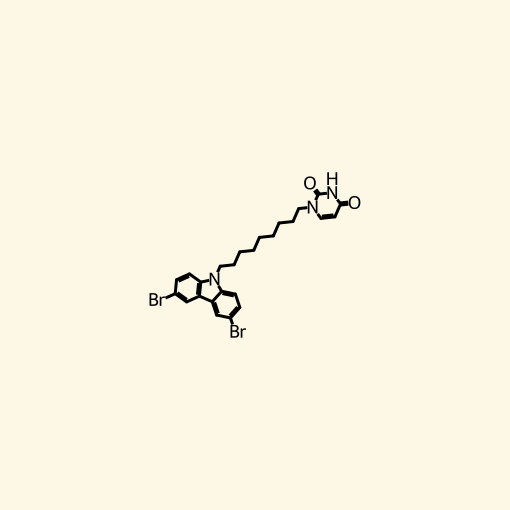 O=c1ccn(CCCCCCCCCn2c3ccc(Br)cc3c3cc(Br)ccc32)c(=O)[nH]1